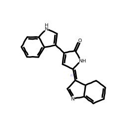 O=C1N/C(=C2/C=NC3=CC=CCC32)C=C1c1c[nH]c2ccccc12